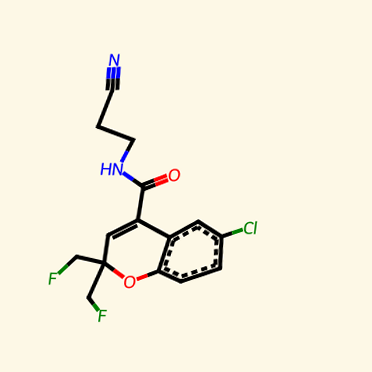 N#CCCNC(=O)C1=CC(CF)(CF)Oc2ccc(Cl)cc21